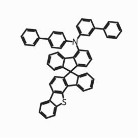 c1ccc(-c2ccc(N(c3cccc(-c4ccccc4)c3)c3cccc4c3-c3ccccc3C43c4ccccc4-c4c3ccc3c4sc4ccccc43)cc2)cc1